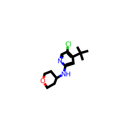 CC(C)(C)c1cc(NC2CCOCC2)ncc1Cl